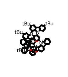 CC(C)(C)c1ccc2c(c1)c1cc(C(C)(C)C)cc3c1n2-c1cc(-n2c4ccccc4c4ccc5c6ccccc6n(-c6cccc7c6C6(c8ccccc8-c8ccccc86)c6ccccc6-7)c5c42)cc2c1B3c1cc(C(C)(C)C)cc3c4cc(C(C)(C)C)ccc4n-2c13